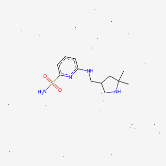 CC1(C)CC(CNc2cccc(S(N)(=O)=O)n2)CN1